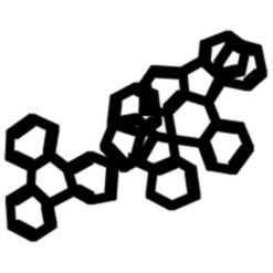 C1=CCC(C2(C3=C(N(c4ccccc4)c4ccc5c6ccccc6c6ccccc6c5c4)CCC=C3)c3ccccc3C3(C4C=CC=CC4)c4ccccc4-c4cccc2c43)C=C1